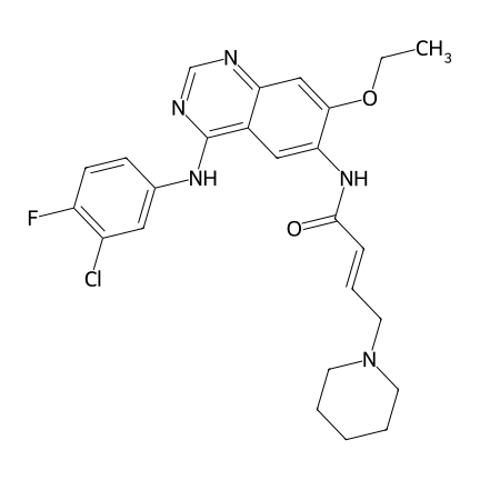 CCOc1cc2ncnc(Nc3ccc(F)c(Cl)c3)c2cc1NC(=O)C=CCN1CCCCC1